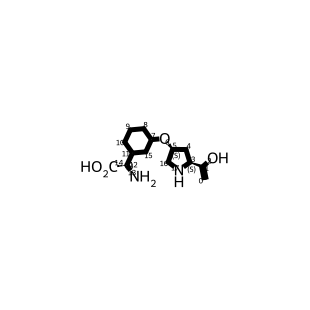 C=C(O)[C@@H]1C[C@H](OC2CCCC([C@H](N)C(=O)O)C2)CN1